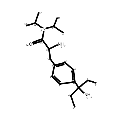 CCC(N)(CC)c1ccc(CC(N)C(=O)N(C(C)C)C(C)C)cc1